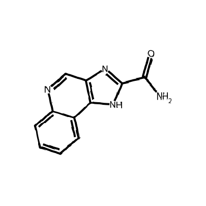 NC(=O)c1nc2cnc3ccccc3c2[nH]1